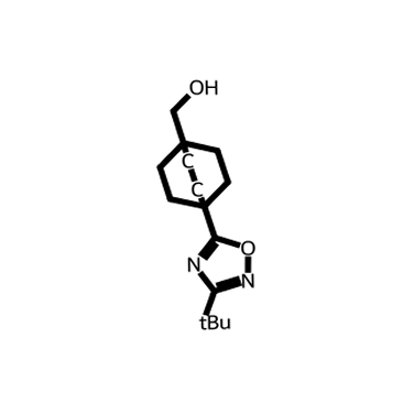 CC(C)(C)c1noc(C23CCC(CO)(CC2)CC3)n1